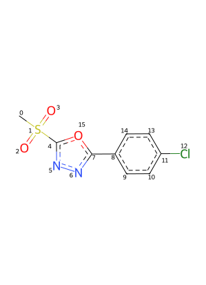 CS(=O)(=O)c1nnc(-c2ccc(Cl)cc2)o1